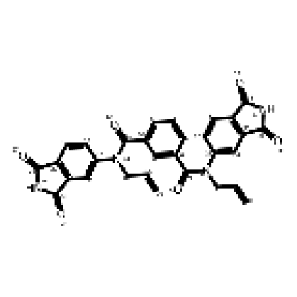 C=CCN(C(=O)c1cccc(C(=O)N(CC=C)c2ccc3c(c2)C(=O)NC3=O)c1)c1ccc2c(c1)C(=O)NC2=O